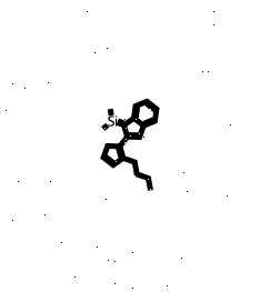 CCCCC1=C(C2=[C]c3ccccc3C2=[Si](C)C)CC=C1